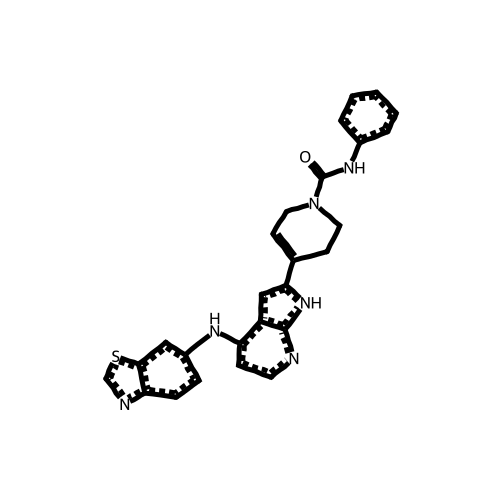 O=C(Nc1ccccc1)N1CC=C(c2cc3c(Nc4ccc5ncsc5c4)ccnc3[nH]2)CC1